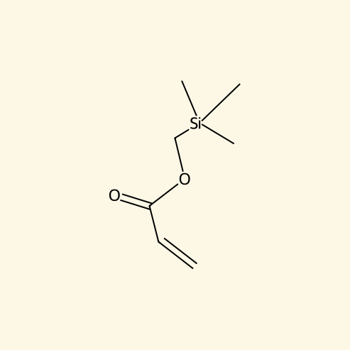 C=CC(=O)OC[Si](C)(C)C